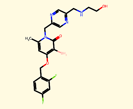 Bc1c(OCc2ccc(F)cc2F)cc(C)n(Cc2cnc(CNCCO)cn2)c1=O